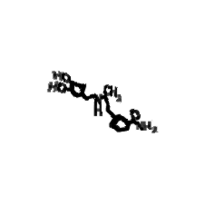 CC(CCc1cccc(C(N)=O)c1)NCCc1ccc(O)c(O)c1